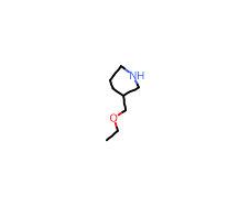 CCOCC1CCCNC1